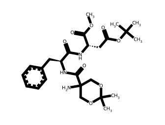 COC(=O)[C@H](CC(=O)OC(C)(C)C)NC(=O)[C@H](Cc1ccccc1)NC(=O)C1(N)COC(C)(C)OC1